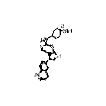 CCC1(O)CCC(Nc2ncc3c(-c4ccc5nnccc5c4)c[nH]c3n2)CC1